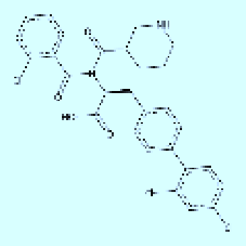 O=C(O)[C@H](Cc1ccc(-c2ccc(Cl)cc2Cl)cc1)N(C(=O)c1ccccc1Cl)C(=O)[C@H]1CCCNC1